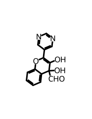 O=CC1(O)C(O)=C(c2cncnc2)Oc2ccccc21